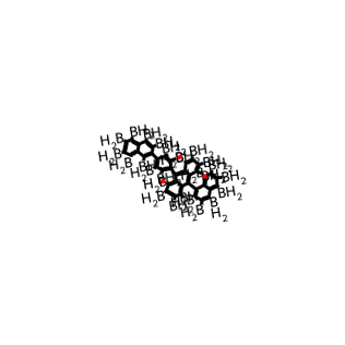 Bc1c(B)c(-c2c3c(B)c(B)c(B)c(B)c3c(-c3c(B)c(B)c(B)c4c(B)c(B)c(B)c(B)c34)c3c(B)c(B)c(B)c(B)c23)c(B)c(B)c1-c1c(B)c(B)c2c(B)c(B)c(B)c(B)c2c1B